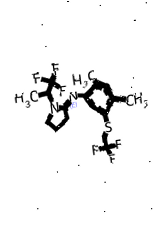 Cc1cc(C)c(SCC(F)(F)F)cc1/N=C1\CCCN1C(C)C(F)(F)F